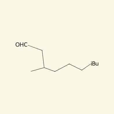 CCC(C)CCCC(C)CC=O